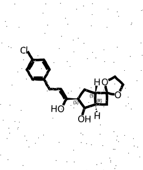 OC(=CCc1ccc(Cl)cc1)[C@H]1C[C@H]2[C@@H](CC23OCCO3)C1O